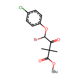 CC(C)(C)OC(=O)C(C)(C)C(=O)C(Br)Oc1ccc(Cl)cc1